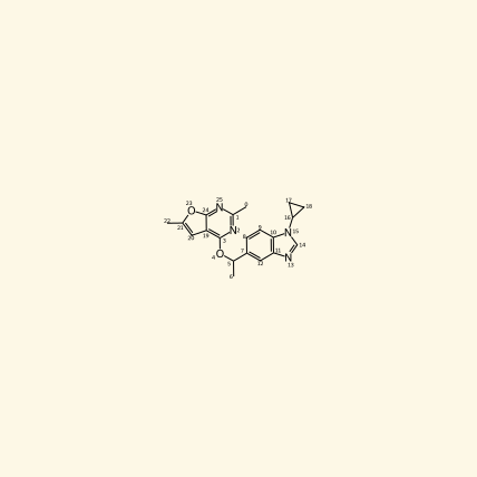 Cc1nc(OC(C)c2ccc3c(c2)ncn3C2CC2)c2cc(C)oc2n1